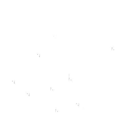 C/C=C\C=N/c1ccc(CNc2nc(Nc3cc(N4CCOCC4)ccn3)cnc2N)cc1